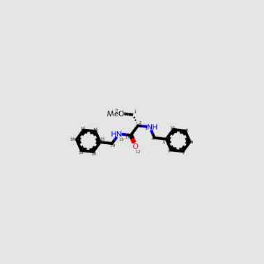 COC[C@H](NCc1ccccc1)C(=O)NCc1ccccc1